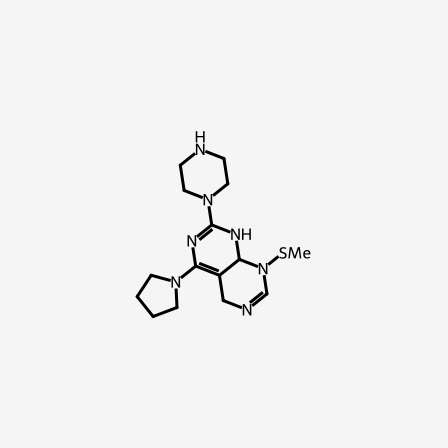 CSN1C=NCC2=C(N3CCCC3)N=C(N3CCNCC3)NC21